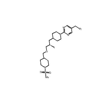 CCCS(=O)(=O)N1CCC(COC[C@H](I)CC2CCN(c3ncc(CC(C)C)cn3)CC2)CC1